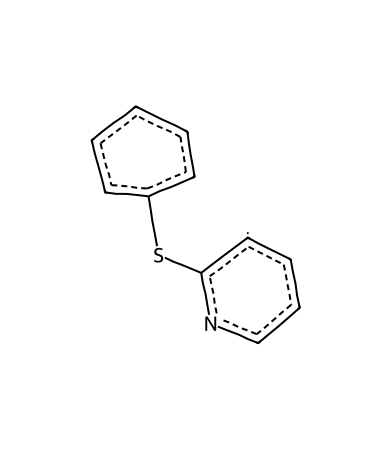 [c]1cccnc1Sc1ccccc1